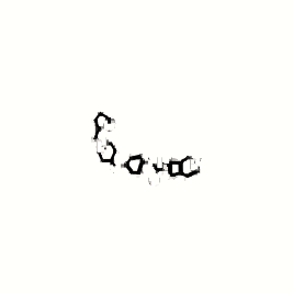 O=C(Nc1ccc(OC2CCN(CC3CCCO3)CC2)cc1)N1Cc2ccncc2C1